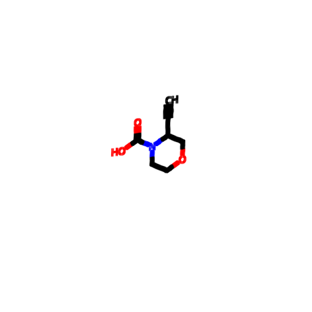 C#CC1COCCN1C(=O)O